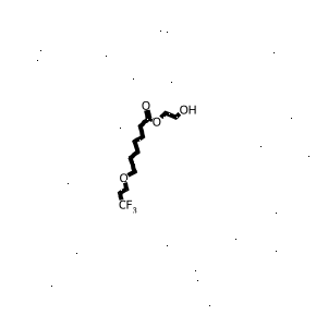 O=C(CCCCCCOCCC(F)(F)F)OCCO